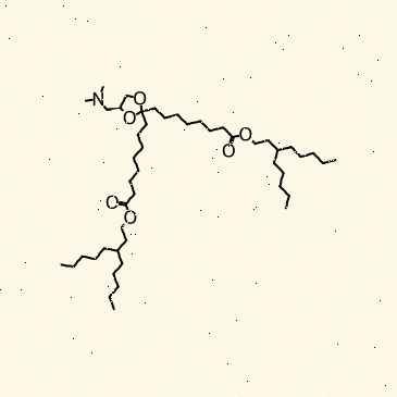 CCCCCC(CCCCC)CCOC(=O)CCCCCCCC1(CCCCCCCC(=O)OCCC(CCCCC)CCCCC)OC[C@H](CN(C)C)O1